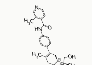 CC1=C(c2ccc(NC(=O)c3ccncc3C)cc2)C[C@@H]([C@@](C)(O)CO)CC1